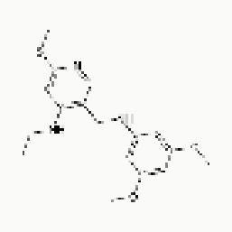 CCNc1nc(SC)ncc1CNc1cc(OC)cc(OC)c1